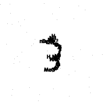 CCCCOc1nc(N)c2[nH]cc(Cc3ccc(CN4CC(CCCCOc5nc(N)c6[nH]cc(Cc7ccc(CN8CC(OC)C8)cc7)c6n5)C4)cc3)c2n1